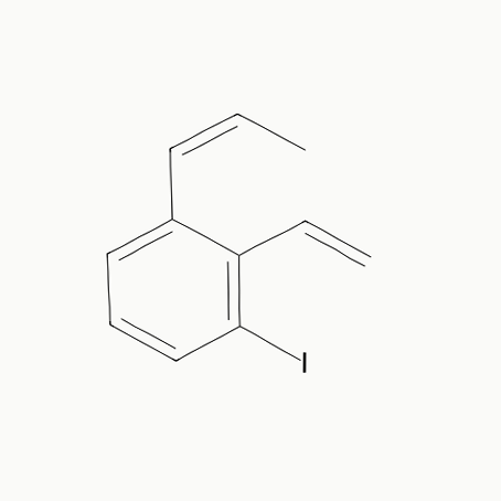 C=Cc1c(I)cccc1/C=C\C